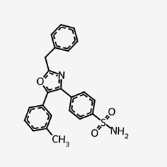 Cc1cccc(-c2oc(Cc3ccccc3)nc2-c2ccc(S(N)(=O)=O)cc2)c1